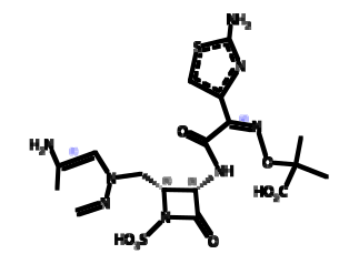 C=NN(/C=C(\C)N)C[C@@H]1[C@H](NC(=O)/C(=N\OC(C)(C)C(=O)O)c2csc(N)n2)C(=O)N1S(=O)(=O)O